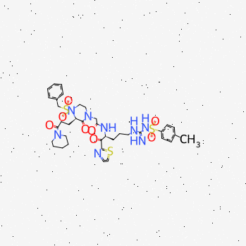 Cc1ccc(S(=O)(=O)NC(=N)NCCC[C@H](NC(=O)CN2CCN(S(=O)(=O)Cc3ccccc3)[C@H](CCC(=O)N3CCCCC3)C2=O)C(=O)c2nccs2)cc1